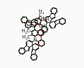 Cc1cc2c(c(-c3c(C4=CC=C5C(=Cc6ccccc65)C45C=CC=C4C5=Cc5ccccc54)ccc4c3-c3c(c(N(C5=CC=C6C(=Cc7ccccc76)C56C=CC=C5C6=Cc6ccccc65)c5ccccc5-c5ccccc5)c(C)c(C)c3-c3c(C)c(C)cc5c3Cc3ccccc3-5)C4)c1C)Cc1ccccc1-2